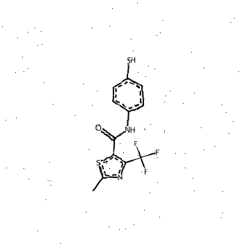 Cc1nc(C(F)(F)F)c(C(=O)Nc2ccc(S)cc2)s1